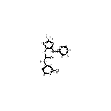 Cc1nc(OC(=O)Nc2ccnc(Cl)c2)c(Nc2cnccn2)s1